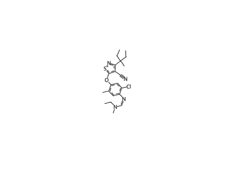 CCN(C)/C=N\c1cc(C)c(Oc2snc(C(C)(CC)CC)c2C#N)cc1Cl